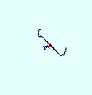 CCCCC/C=C\C/C=C\CCCCCCCCCC(CCCCCCCC/C=C\C/C=C\CCCCC)OCCCN(C)C